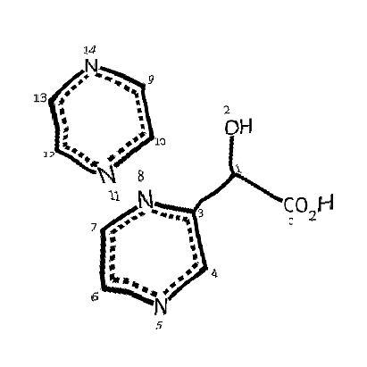 O=C(O)C(O)c1cnccn1.c1cnccn1